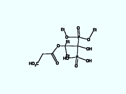 CCOP(=O)(OCC)C(O)(C(CC)(CC)OC(=O)CC(=O)O)P(=O)(O)O